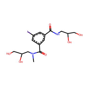 CN(CC(O)CO)C(=O)c1cc(I)cc(C(=O)NCC(O)CO)c1